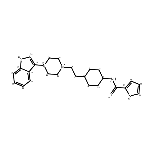 O=C(NC1CCC(CCN2CCN(c3nsc4ccccc34)CC2)CC1)c1cccs1